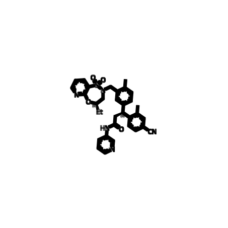 CC[C@@H]1CN(Cc2cc([C@H](CC(=O)Nc3cccnc3)c3ccc(C#N)cc3C)ccc2C)S(=O)(=O)c2cccnc2O1